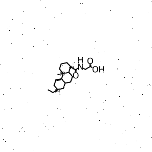 CC[C@@]1(C)CC=C2C(CCC3[C@](C)(C(=O)NCC(=O)O)CCC[C@@]23C)C1